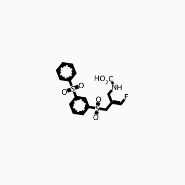 O=C(O)NC/C(=C\F)CS(=O)(=O)c1cccc(S(=O)(=O)c2ccccc2)c1